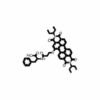 CCC(CC)N1C(=O)c2ccc3c4ccc5c6c(cc(SCCC(=O)NC(Cc7ccccc7)C(=O)O)c(c7ccc(c2c37)C1=O)c64)C(=O)N(C(CC)CC)C5=O